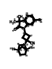 CC1(C)C(=O)N(C2CC(C#N)(N3C[C@H]4CC[C@@H]3C4)C2)c2cc(Br)cnc21